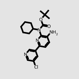 CC(C)(C)OC(=O)N(c1nc(-c2cncc(Cl)c2)ccc1N)C1CCCCC1